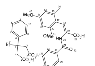 CCC(CC(=O)O)(CC(=O)O)c1ccccc1.COc1cc(C)c(/C=C(\NC(=O)c2ccccc2)C(=O)O)c(OC)c1